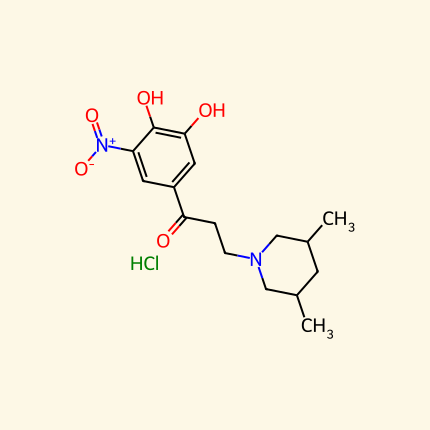 CC1CC(C)CN(CCC(=O)c2cc(O)c(O)c([N+](=O)[O-])c2)C1.Cl